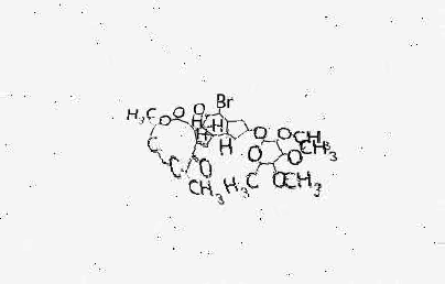 CC[C@H]1CCCC[C@@H](C)C(=O)C2=C[C@@H]3[C@@H](C(=O)C(Br)C4C[C@@H](OC5OC(C)C(OC)C(OC)C5OC)C[C@H]43)[C@@H]2CC(=O)O1